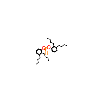 CCCCc1cccc(OPOc2cccc(CCCC)c2CCCC)c1CCCC